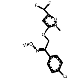 CON=C(COc1cc(C(F)F)nn1C)c1ccc(Cl)cc1